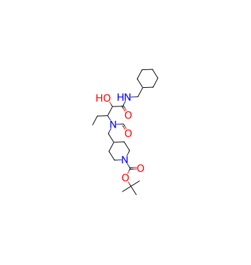 CCC(C(O)C(=O)NCC1CCCCC1)N(C=O)CC1CCN(C(=O)OC(C)(C)C)CC1